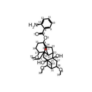 CCN1CC2(OC(=O)c3ccccc3N)CCC(OC)C34C1C(CC23)C1(O)CC(OC)C2CC4C1(O)C2OC